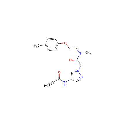 C#CC(=O)Nc1cnn(CC(=O)N(C)CCOc2ccc(C)cc2)c1